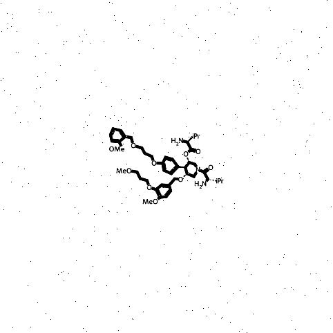 COCCCOc1cc(CO[C@H]2CN(C(=O)[C@@H](N)C(C)C)C[C@@H](OC(=O)[C@@H](N)C(C)C)[C@@H]2c2ccc(OCCCOCc3ccccc3OC)cc2)ccc1OC